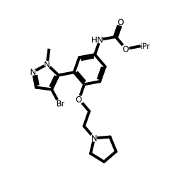 CC(C)OC(=O)Nc1ccc(OCCN2CCCC2)c(-c2c(Br)cnn2C)c1